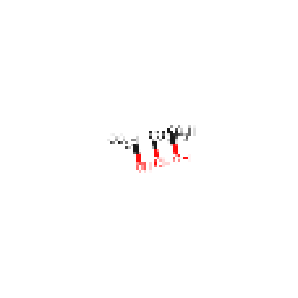 O=C(O)O.O=C(O)O.O=C(O)O